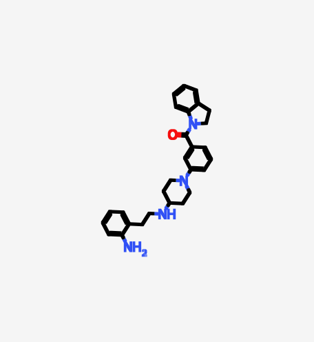 Nc1ccccc1CCNC1CCN(c2cccc(C(=O)N3CCc4ccccc43)c2)CC1